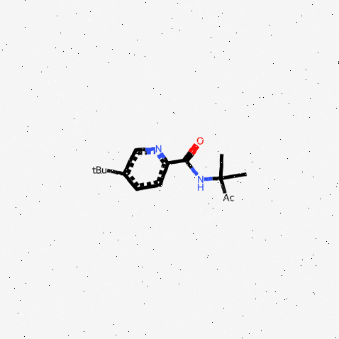 CC(=O)C(C)(C)NC(=O)c1ccc(C(C)(C)C)cn1